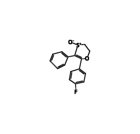 [O-][S+]1CCOC(c2ccc(F)cc2)=C1c1ccccc1